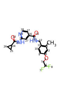 Cc1cc(OCC(F)F)ccc1CNC(=O)c1ccnc(NC(=O)C2CC2)c1